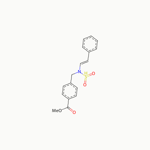 COC(=O)c1ccc(CN(C=Cc2ccccc2)[SH](=O)=O)cc1